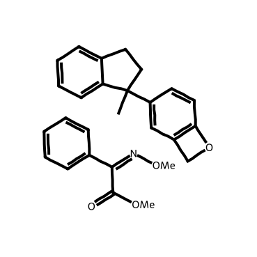 CC1(c2ccc3c(c2)CO3)CCc2ccccc21.CON=C(C(=O)OC)c1ccccc1